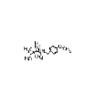 COc1ccc(CNC(=O)[C@@H](N)C(C)(C)CO)cc1